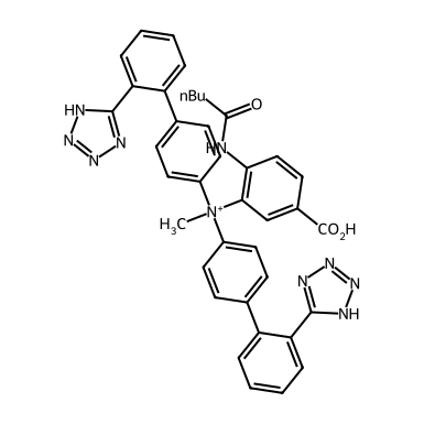 CCCCC(=O)Nc1ccc(C(=O)O)cc1[N+](C)(c1ccc(-c2ccccc2-c2nnn[nH]2)cc1)c1ccc(-c2ccccc2-c2nnn[nH]2)cc1